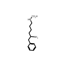 NC(CCCCNC(=O)O)Cc1ccccc1